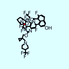 C#Cc1c(F)ccc2cc(O)cc(-c3nc(OCC(F)(F)F)c4c(N5CC6CCC(C5)N6C(=O)C(F)(F)F)nc(OCC5(CN6CCC(C(F)(F)F)CC6)CC5)nc4c3F)c12